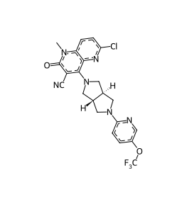 Cn1c(=O)c(C#N)c(N2C[C@H]3CN(c4ccc(OC(F)(F)F)cn4)C[C@@H]3C2)c2nc(Cl)ccc21